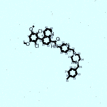 COc1cc(OC)c(Cl)c(-c2ccc(C(=O)Nc3ccc(CN4CCN(Cc5ccc(C)cc5)CC4)nc3)c3ncccc23)c1Cl